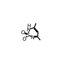 CC1=CC(C)=NS(=O)(=O)N1